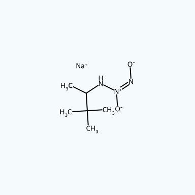 CC(N/[N+]([O-])=N\[O-])C(C)(C)C.[Na+]